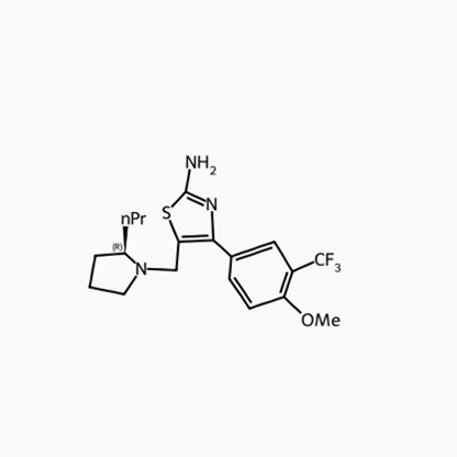 CCC[C@@H]1CCCN1Cc1sc(N)nc1-c1ccc(OC)c(C(F)(F)F)c1